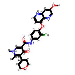 COc1cnc2c(Oc3ccc(NC(=O)c4cn(C)c(C)c(C5=CCOCC5)c4=O)cc3F)ccnc2c1